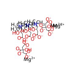 C[N+](C)(C)CC(O)CC(=O)[O-].C[N+](C)(C)CC(O)CC(=O)[O-].C[N+](C)(C)CC(O)CC(=O)[O-].O=C([O-])CC(O)(CC(=O)[O-])C(=O)[O-].O=C([O-])CC(O)(CC(=O)[O-])C(=O)[O-].[Mg+2].[Mg+2].[Mg+2]